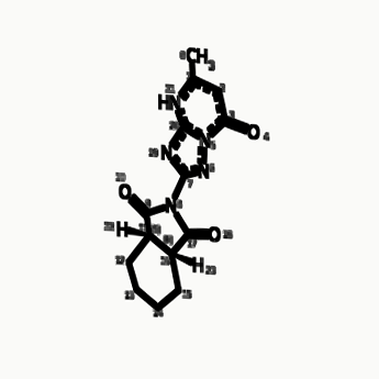 Cc1cc(=O)n2nc(N3C(=O)[C@H]4CCCC[C@H]4C3=O)nc2[nH]1